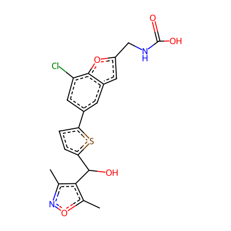 Cc1noc(C)c1C(O)c1ccc(-c2cc(Cl)c3oc(CNC(=O)O)cc3c2)s1